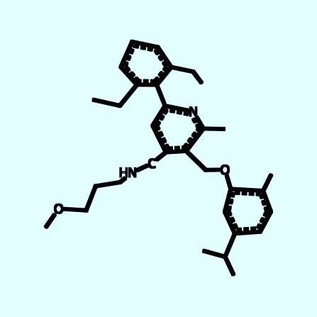 CCc1cccc(CC)c1-c1cc(CNCCCOC)c(COc2cc(C(C)C)ccc2C)c(C)n1